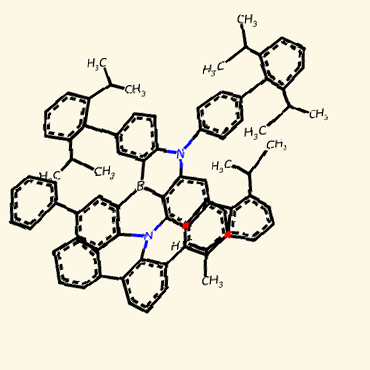 CC(C)c1cccc(C(C)C)c1-c1ccc(N2c3ccc(-c4c(C(C)C)cccc4C(C)C)cc3B3c4cc(-c5ccccc5)ccc4N(c4c(-c5ccccc5)cccc4-c4ccccc4)c4cc(-c5c(C(C)C)cccc5C(C)C)cc2c43)cc1